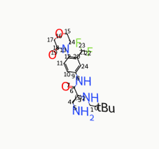 CC(C)(C)CN[C@@H](CN)C(=O)Nc1ccc(N2CCOCC2=O)c(C(F)F)c1